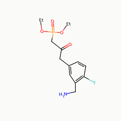 CCOP(=O)(CC(=O)Cc1ccc(F)c(CN)c1)OCC